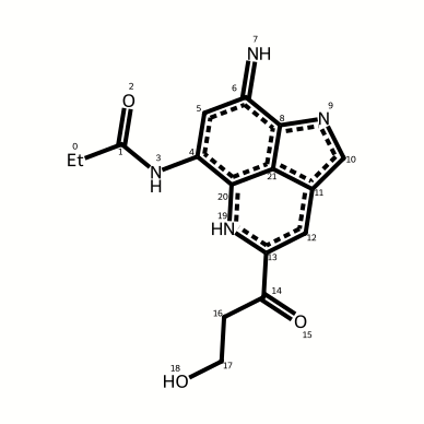 CCC(=O)Nc1cc(=N)c2ncc3cc(C(=O)CCO)[nH]c1c32